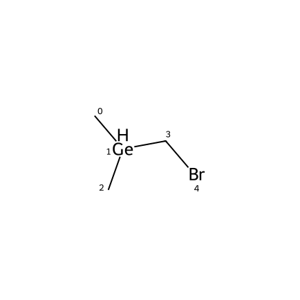 [CH3][GeH]([CH3])[CH2]Br